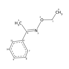 CCO/N=C(\C)c1c[c]ccc1